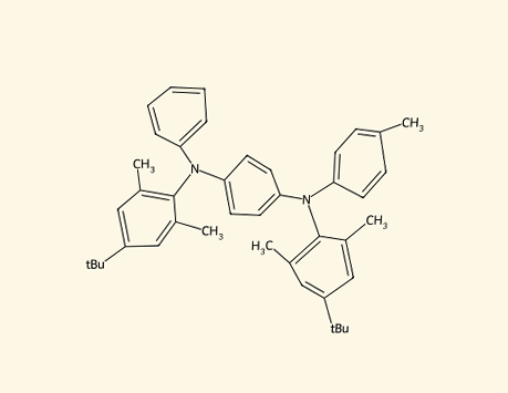 Cc1ccc(N(c2ccc(N(c3ccccc3)c3c(C)cc(C(C)(C)C)cc3C)cc2)c2c(C)cc(C(C)(C)C)cc2C)cc1